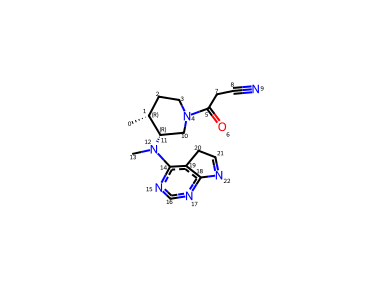 C[C@@H]1CCN(C(=O)CC#N)C[C@@H]1N(C)c1ncnc2c1CC=N2